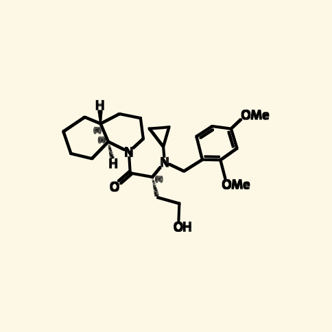 COc1ccc(CN(C2CC2)[C@H](CCO)C(=O)N2CCC[C@H]3CCCC[C@@H]32)c(OC)c1